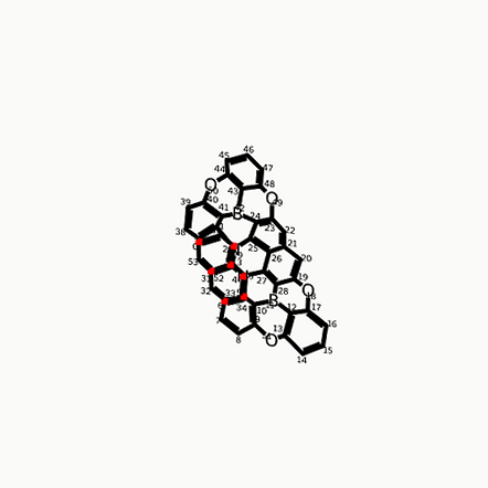 c1ccc(N2c3cccc4c3B3c5c(cccc5Oc5cc6cc7c8c(c6c2c53)N(c2ccccc2)c2cccc3c2B8c2c(cccc2O7)O3)O4)cc1